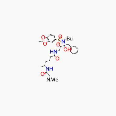 CCC(C)N(C(O)(CCNC(=O)CCCC(C)NC(=O)CNC)Cc1ccccc1)S(=O)(=O)c1ccc2c(c1)OC(C)O2